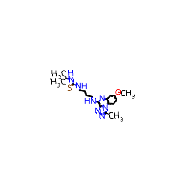 COc1ccc2c(c1)nc(NCCCCNC(=S)NC(C)C)c1nnc(C)n12